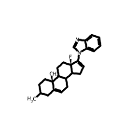 CC1CC[C@@]2(C)C(=CCC3C2CC[C@]2(F)C(n4cnc5ccccc54)=CCC32)C1